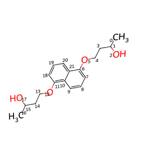 CC(O)CCOc1cccc2c(OCCC(C)O)cccc12